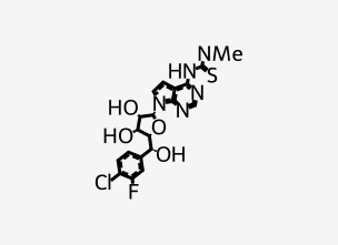 CNC(=S)Nc1ncnc2c1ccn2[C@@H]1O[C@H]([C@H](O)c2ccc(Cl)c(F)c2)[C@@H](O)[C@H]1O